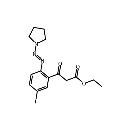 CCOC(=O)CC(=O)c1cc(I)ccc1N=NN1CCCC1